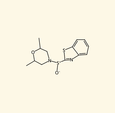 CC1CN([S+]([O-])c2nc3ccccc3s2)CC(C)O1